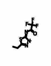 CCC1=N[N]C(=NC(=O)C(F)(F)F)S1